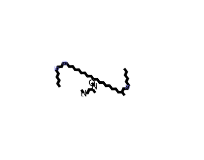 CCCCC/C=C\C/C=C\CCCCCCCCC(CCCCCCCCC(C)C/C=C\CCCCC)ON=C(C)CCN(C)C